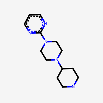 c1cnc(N2CCN(C3CC[N]CC3)CC2)nc1